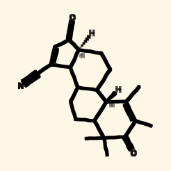 CC1=C(C)[C@H]2C3CC[C@@H]4C(=O)C=C(C#N)C4C3CCC2C(C)(C)C1=O